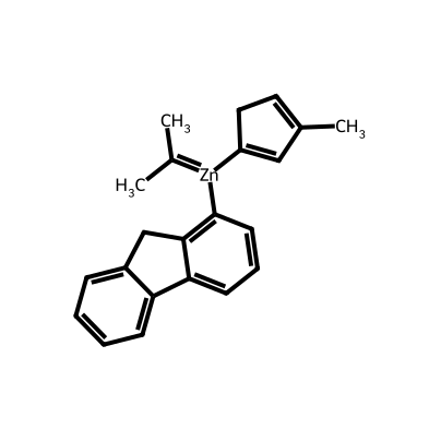 CC1=CC[C]([Zn](=[C](C)C)[c]2cccc3c2Cc2ccccc2-3)=C1